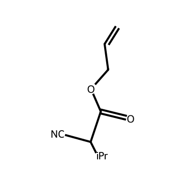 C=CCOC(=O)C(C#N)C(C)C